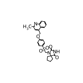 Cc1cc(COc2ccc(S(=O)(=O)CN3C(=O)NC(=O)C34CCCC4)cc2)c2ccccc2n1